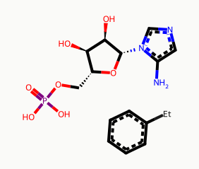 CCc1ccccc1.Nc1cncn1[C@@H]1O[C@H](COP(=O)(O)O)[C@@H](O)[C@H]1O